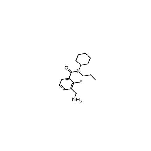 CCCN(C(=O)c1cccc(CN)c1F)C1CCCCC1